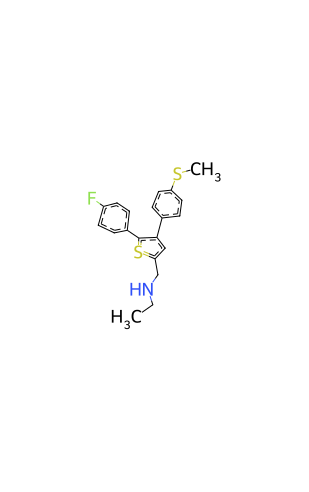 CCNCc1cc(-c2ccc(SC)cc2)c(-c2ccc(F)cc2)s1